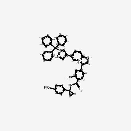 O=C(NC1(c2ccc(C(F)(F)F)cc2)CC1)c1ccc(-c2cnc3ccc(-c4cnn(C(c5ccccc5)(c5ccccc5)c5ccccc5)c4)cn23)cc1F